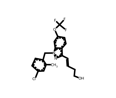 Cc1cc(Cl)ccc1Cn1nc(C=CCCO)c2ccc(OC(F)(F)F)cc21